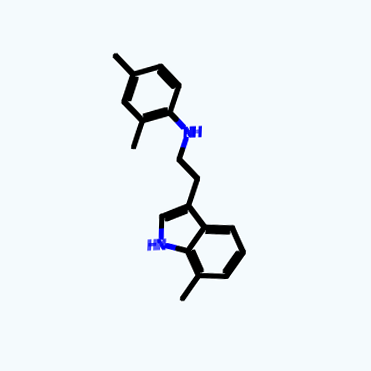 Cc1ccc(NCCc2c[nH]c3c(C)cccc23)c(C)c1